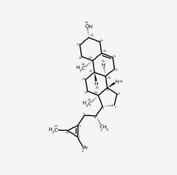 CC(C)C1=C(C[C@@H](C)[C@H]2CC[C@H]3[C@@H]4CC=C5C[C@@H](O)CC[C@]5(C)[C@H]4CC[C@]23C)C1C